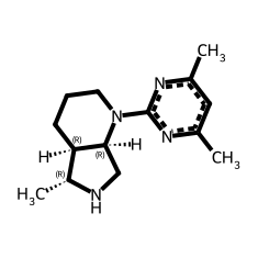 Cc1cc(C)nc(N2CCC[C@@H]3[C@@H](C)NC[C@@H]32)n1